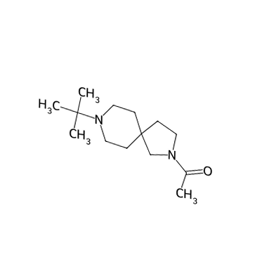 CC(=O)N1CCC2(CCN(C(C)(C)C)CC2)C1